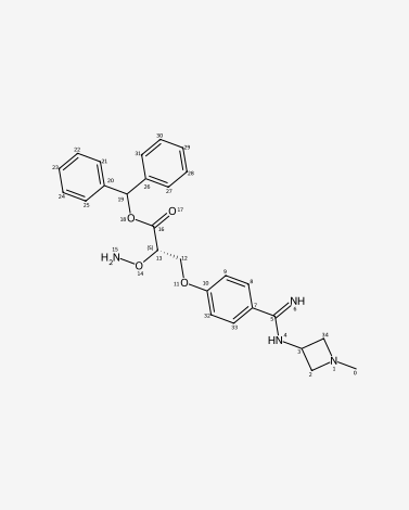 CN1CC(NC(=N)c2ccc(OC[C@H](ON)C(=O)OC(c3ccccc3)c3ccccc3)cc2)C1